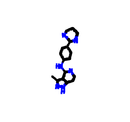 Cc1n[nH]c2ccnc(Nc3ccc(-c4ncccn4)cc3)c12